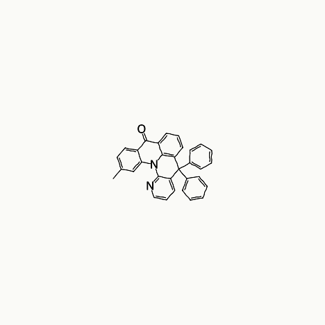 Cc1ccc2c(=O)c3cccc4c3n(c2c1)-c1ncccc1C4(c1ccccc1)c1ccccc1